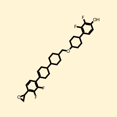 Oc1ccc(C2CCC(OCC3CCC(C4CC=C(c5ccc(C6CO6)c(F)c5F)CC4)CC3)CC2)c(F)c1F